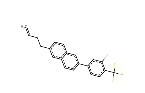 C=CCCc1ccc2cc(-c3ccc(C(F)(F)F)c(F)c3)ccc2c1